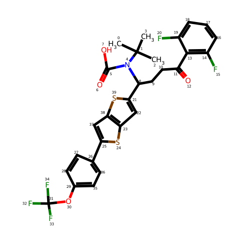 CC(C)(C)N(C(=O)O)C(CCC(=O)c1c(F)cccc1F)c1cc2sc(-c3ccc(OC(F)(F)F)cc3)cc2s1